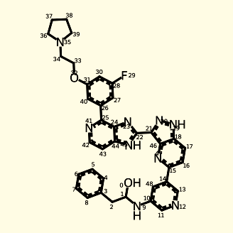 OC(Cc1ccccc1)Nc1cncc(-c2ccc3[nH]nc(-c4nc5c(-c6cc(F)cc(OCCN7CCCC7)c6)nccc5[nH]4)c3n2)c1